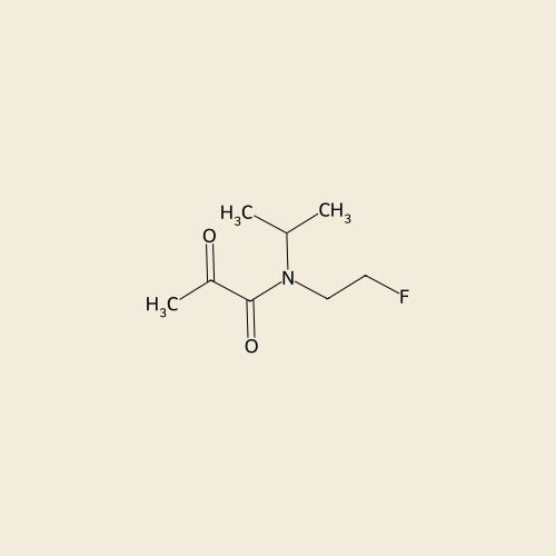 CC(=O)C(=O)N(CCF)C(C)C